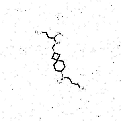 CCCCN(C)[C@H]1CCC2(CC1)C[C@H](CNC(C)CCC)C2